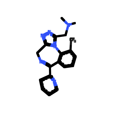 CN(C)Cc1nnc2n1-c1c(cccc1C(F)(F)F)C(c1ccccn1)=NC2